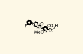 CCc1nc(OC)c(NC(=O)N2CCN(c3cccc(F)c3)CC2)cc1C(=O)O